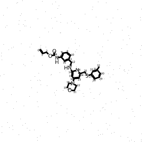 C=CCOC(=O)Nc1cccc(CNc2cc(N3CCOCC3)cc(CSc3cccc(C)c3)n2)c1